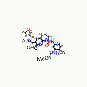 COCCNc1cc(NC(=O)N2CCCc3cc(CN(CC4CCCO4)C(C)=O)c(C=O)nc32)ncc1C#N